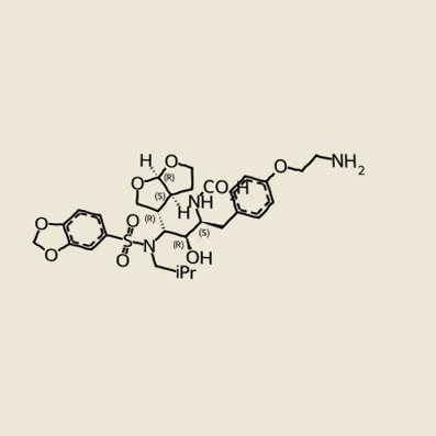 CC(C)CN(C([C@H](O)[C@H](Cc1ccc(OCCN)cc1)NC(=O)O)[C@@H]1CO[C@H]2OCC[C@H]21)S(=O)(=O)c1ccc2c(c1)OCO2